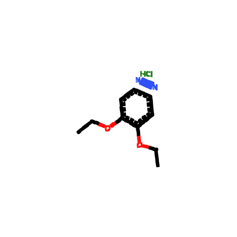 CCOc1ccccc1OCC.Cl.N#N